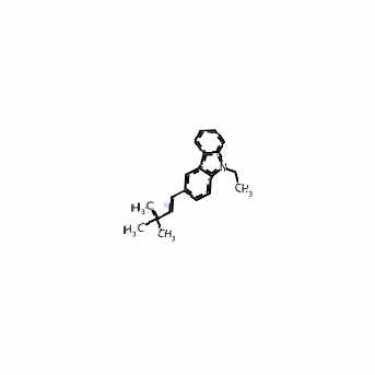 CCn1c2ccccc2c2cc(/C=C/C(C)(C)C)ccc21